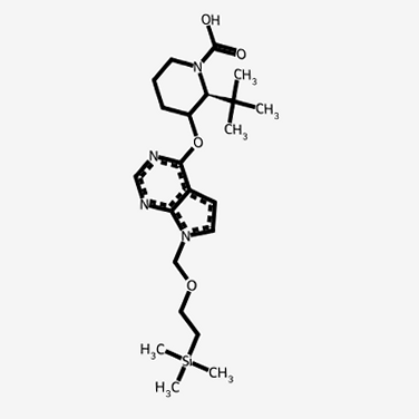 CC(C)(C)[C@H]1C(Oc2ncnc3c2ccn3COCC[Si](C)(C)C)CCCN1C(=O)O